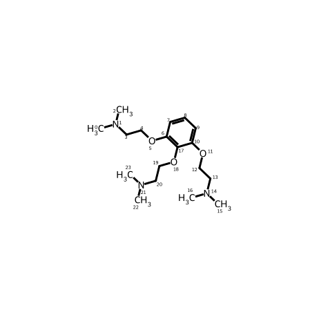 CN(C)CCOc1cccc(OCCN(C)C)c1OCCN(C)C